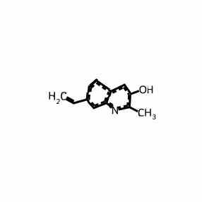 C=Cc1ccc2cc(O)c(C)nc2c1